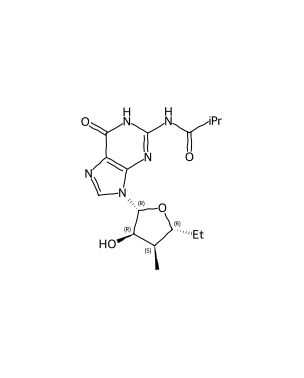 CC[C@H]1O[C@@H](n2cnc3c(=O)[nH]c(NC(=O)C(C)C)nc32)[C@H](O)[C@@H]1C